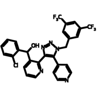 OC(c1ccccc1Cl)c1cccnc1-c1nnn(Cc2cc(C(F)(F)F)cc(C(F)(F)F)c2)c1-c1ccncc1